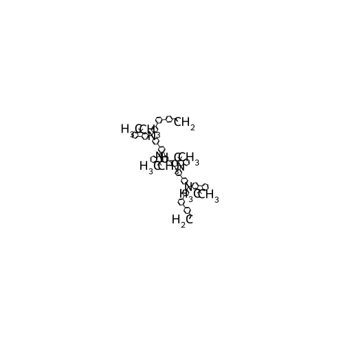 C=Cc1ccc(-c2cccc(-c3ccc(N(c4ccc(-c5ccc6c7cc(-c8cc9c%10c(c8)c8ccc(-c%11ccc(N(c%12ccc(-c%13cccc(-c%14ccc(C=C)cc%14)c%13)cc%12)c%12ccc%13c(c%12)C(C)(C)c%12ccccc%12-%13)cc%11)cc8n%10-c8ccccc8C9(C)C)cc8c7n(c6c5)-c5ccccc5C8(C)C)cc4)c4ccc5c(c4)C(C)(C)c4ccccc4-5)cc3)c2)cc1